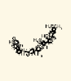 C[C@H]1CN(C(=O)CCNc2cccc3c2C(=O)N(C2CCC(=O)NC2=O)C3=O)CCN1c1ccc(Nc2cc(-c3ccnc(N4CCn5c(cc6c5CC(C)(C)C6)C4=O)c3CO)cn(C)c2=O)nc1